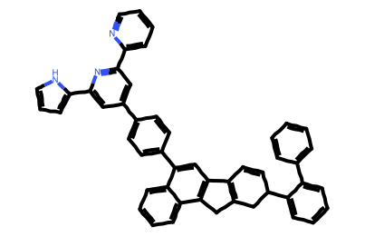 C1=CC(c2ccccc2-c2ccccc2)CC2=C1c1cc(-c3ccc(-c4cc(-c5ccccn5)nc(-c5ccc[nH]5)c4)cc3)c3ccccc3c1C2